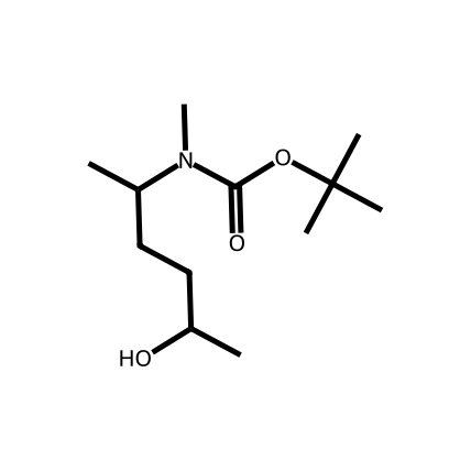 CC(O)CCC(C)N(C)C(=O)OC(C)(C)C